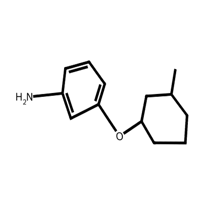 CC1CCCC(Oc2cccc(N)c2)C1